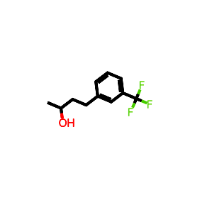 CC(O)CCc1cccc(C(F)(F)F)c1